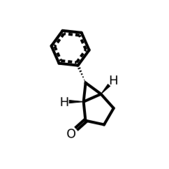 O=C1CC[C@@H]2[C@H]1[C@@H]2c1ccccc1